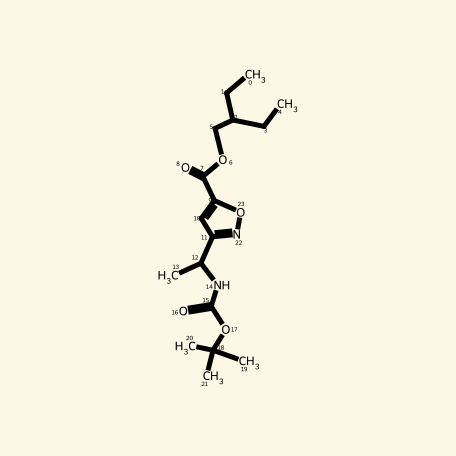 CCC(CC)COC(=O)c1cc(C(C)NC(=O)OC(C)(C)C)no1